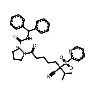 CC(C)C(C#N)(CCCCC(=O)N1CCC[C@@H]1C(=O)NC(c1ccccc1)c1ccccc1)S(=O)(=O)c1ccccn1